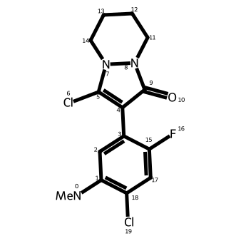 CNc1cc(-c2c(Cl)n3n(c2=O)CCCC3)c(F)cc1Cl